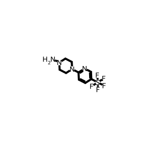 NN1CCN(c2ccc(S(F)(F)(F)(F)F)cn2)CC1